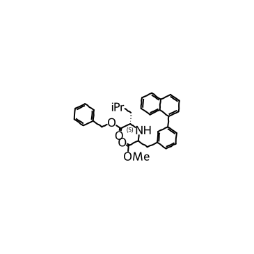 COC(=O)C(Cc1cccc(-c2cccc3ccccc23)c1)N[C@@H](CC(C)C)C(=O)OCc1ccccc1